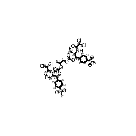 CC(COC(=O)O[C@H](c1ccc(S(C)(=O)=O)cc1)[C@@H](CF)NC(=O)C(Cl)Cl)OC(=O)O[C@H](c1ccc(S(C)(=O)=O)cc1)[C@@H](CF)NC(=O)C(Cl)Cl